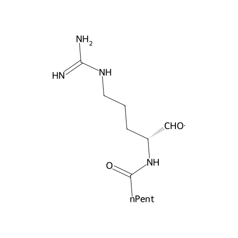 CCCCCC(=O)N[C@@H]([C]=O)CCCNC(=N)N